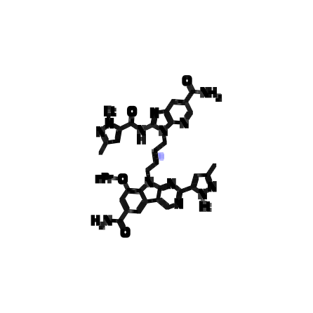 [CH2]CCOc1cc(C(N)=O)cc2c3cnc(-c4cc(C)nn4CC)nc3n(C/C=C/Cn3c(NC(=O)c4cc(C)nn4CC)nc4cc(C(N)=O)cnc43)c12